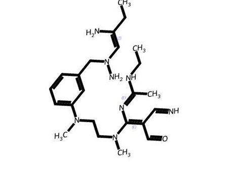 CCN/C(C)=N/C(=C(\C=N)C=O)N(C)CCN(C)c1cccc(CN(N)/C=C(\N)CC)c1